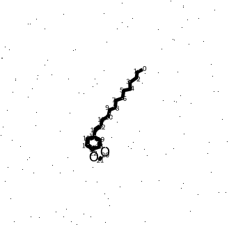 CCCCCCCCCCCCC=Cc1ccc2c(c1)OCO2